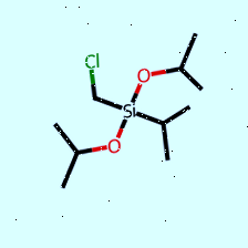 CC(C)O[Si](CCl)(OC(C)C)C(C)C